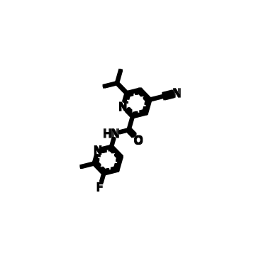 Cc1nc(NC(=O)c2cc(C#N)cc(C(C)C)n2)ccc1F